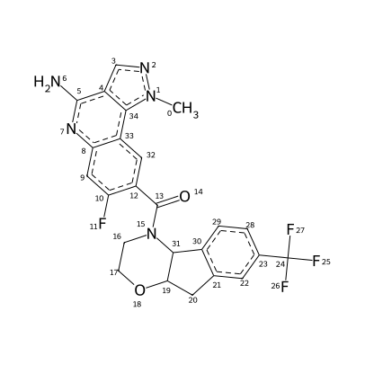 Cn1ncc2c(N)nc3cc(F)c(C(=O)N4CCOC5Cc6cc(C(F)(F)F)ccc6C54)cc3c21